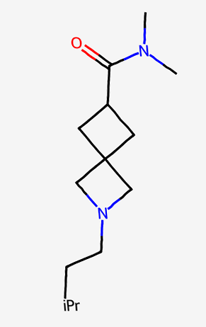 CC(C)CCN1CC2(CC(C(=O)N(C)C)C2)C1